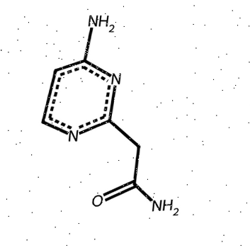 NC(=O)Cc1nccc(N)n1